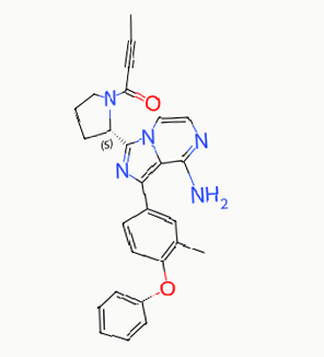 CC#CC(=O)N1CCC[C@H]1c1nc(-c2ccc(Oc3ccccc3)c(C)c2)c2c(N)nccn12